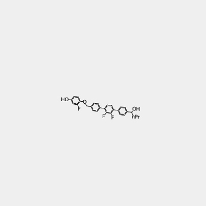 CCCC(O)c1ccc(-c2ccc(-c3ccc(COc4ccc(O)cc4F)cc3)c(F)c2F)cc1